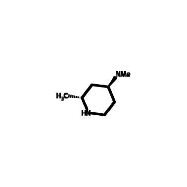 CN[C@H]1CCN[C@H](C)C1